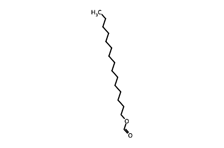 CCCCCCCCCCCCCCCOC=O